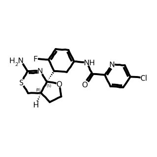 NC1=N[C@@]2(C3CC(NC(=O)c4ccc(Cl)cn4)=CC=C3F)OCC[C@H]2CS1